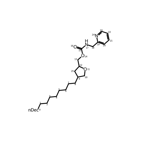 CCCCCCCCCCCCCCCCCCC1COC(COC(=O)NCc2ccccn2)C1